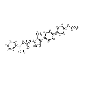 Cc1c(NC(=O)O[C@H](C)c2ccccc2)nnn1-c1ccc(-c2ccc(CC(=O)O)cc2)cc1